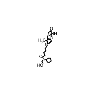 Cc1c(OCCCCCC(=O)N(CCO)C2CCCCC2)ccc2c1CN1CC(=O)NC1=N2